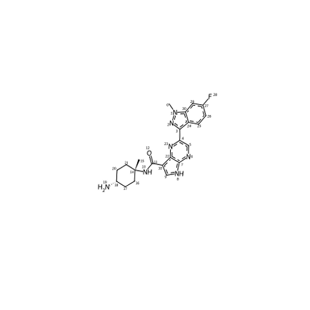 Cn1nc(-c2cnc3[nH]cc(C(=O)N[C@]4(C)CC[C@H](N)CC4)c3n2)c2ccc(F)cc21